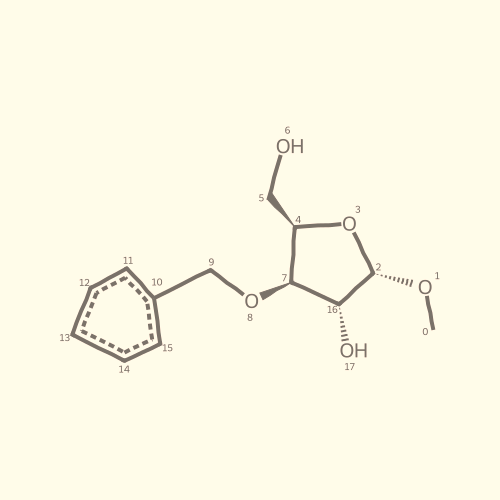 CO[C@H]1O[C@H](CO)[C@H](OCc2ccccc2)[C@H]1O